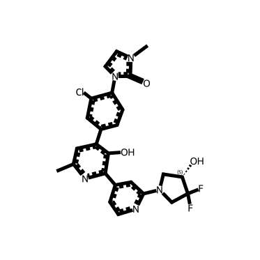 Cc1cc(-c2ccc(-n3ccn(C)c3=O)c(Cl)c2)c(O)c(-c2ccnc(N3C[C@H](O)C(F)(F)C3)c2)n1